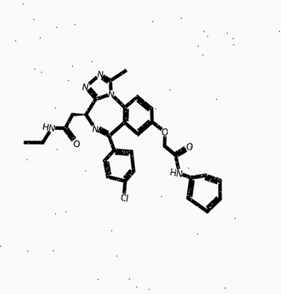 CCNC(=O)C[C@@H]1N=C(c2ccc(Cl)cc2)c2cc(OCC(=O)Nc3ccccc3)ccc2-n2c(C)nnc21